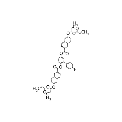 C=CC(=O)OC(CC)Oc1ccc2cc(C(=O)Oc3ccc(OC(=O)c4ccc5cc(OC(CC)OC(=O)C=C)ccc5c4)c(-c4ccc(F)cc4)c3)ccc2c1